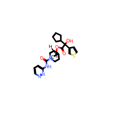 O=C(O[C@H]1C[N+]2(C(=O)Nc3cccnn3)CCC1CC2)C(O)(c1ccsc1)C1CCCC1